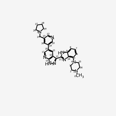 CN1CCN(c2cccc3[nH]c(-c4n[nH]c5ncc(-c6cncc(CN7CCCC7)c6)cc45)nc23)CC1